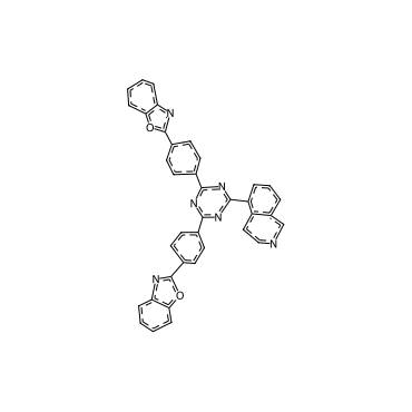 c1cc(-c2nc(-c3ccc(-c4nc5ccccc5o4)cc3)nc(-c3ccc(-c4nc5ccccc5o4)cc3)n2)c2ccncc2c1